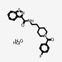 Cl.O.O=C(NCCC1CCN(C(=O)c2ccc(F)cc2)CC1)c1nsc2ccccc12